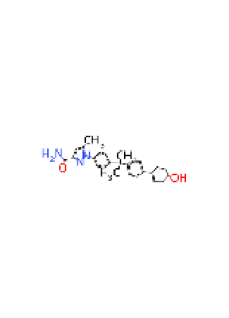 Cc1cc(C(N)=O)nn1-c1ccc(C(C)(C)c2ccc(C3=CC[C@H](O)CC3)cc2)cc1